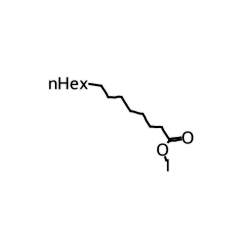 CCCCCCCCCCCCCC(=O)OI